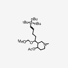 CCC[CH2][Sn](/[CH]=C/CCC(OCOC)C1CN(C)CCC1OC(C)=O)([CH2]CCC)[CH2]CCC